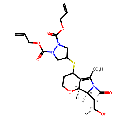 C=CCOC(=O)N1CC(SC2CCO[C@H]3C2=C(C(=O)O)N2C(=O)[C@H]([C@@H](C)O)[C@@H]32)CN1C(=O)OCC=C